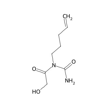 C=CCCCN(C(N)=O)C(=O)CO